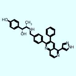 C[C@H](NCc1ccc(-c2nc3ccnc(-c4cn[nH]c4)c3cc2-c2ccccc2)cc1)[C@H](O)c1ccc(O)cc1